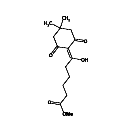 COC(=O)CCCCC(O)=C1C(=O)CC(C)(C)CC1=O